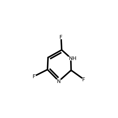 F[C]1N=C(F)C=C(F)N1